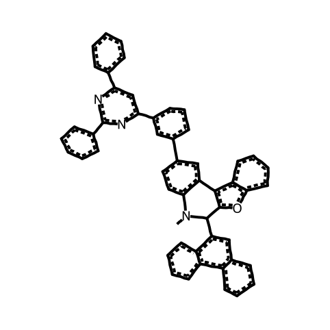 CN1c2ccc(-c3cccc(-c4cc(-c5ccccc5)nc(-c5ccccc5)n4)c3)cc2-c2c(oc3ccccc23)C1c1cc2ccccc2c2ccccc12